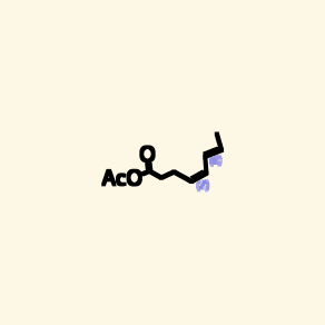 C/C=C/C=C\CCC(=O)OC(C)=O